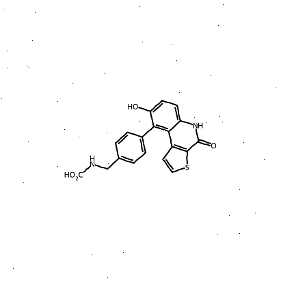 O=C(O)NCc1ccc(-c2c(O)ccc3[nH]c(=O)c4sccc4c23)cc1